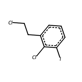 ClCCc1cccc(I)c1Cl